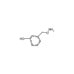 NOCc1cccc(O)c1